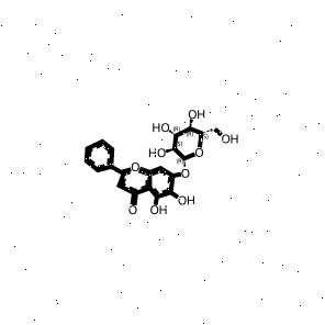 O=c1cc(-c2ccccc2)oc2cc(O[C@H]3O[C@@H](CO)[C@H](O)[C@@H](O)[C@@H]3O)c(O)c(O)c12